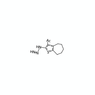 CC(=O)c1c(NN=N)sc2c1CCCCC2